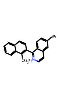 CCOC(=O)c1c(-c2nccc3cc(C(C)C)ccc23)ccc2ccccc12